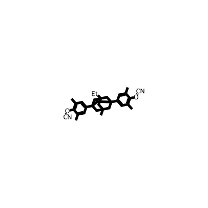 CCC12CC3(C)CC(c4cc(C)c(OC#N)c(C)c4)(C1)CC(c1cc(C)c(OC#N)c(C)c1)(C3)C2